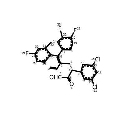 C=C/C(C[C@@H](C(=O)C=O)c1cc(Cl)cc(Cl)c1)=C(/c1ccc(F)c(F)c1)c1ccc(F)cc1C